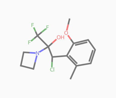 COc1cccc(C)c1C(Cl)C(O)(N1CCC1)C(F)(F)F